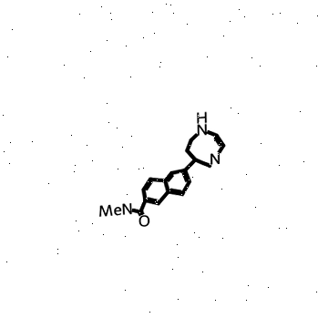 CNC(=O)c1ccc2cc(C3/C=N\C=C/NCC3)ccc2c1